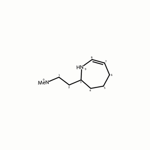 CNCCC1CCCC=CN1